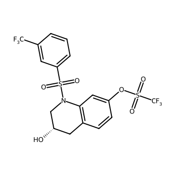 O=S(=O)(c1cccc(C(F)(F)F)c1)N1C[C@@H](O)Cc2ccc(OS(=O)(=O)C(F)(F)F)cc21